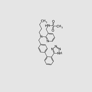 CCCCN(Cc1ccc(-c2ccccc2-c2nnn[nH]2)cc1)c1ncccc1CNS(C)(=O)=O